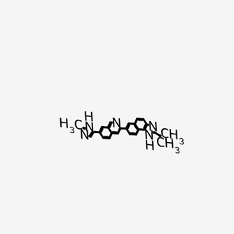 Cc1ncc(-c2ccc3cc(-c4ccc5c(ccc6nc(C(C)C)[nH]c65)c4)ncc3c2)[nH]1